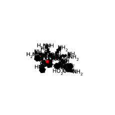 N=C(N)NCCC[C@H](NC(=O)[C@H](CCCCN)NC(=O)[C@H](Cc1c[nH]c2ccccc12)NC(=O)[C@H](CCCNC(=N)N)NC(=O)[C@H](CCCNC(=N)N)NC(=O)[C@H](Cc1ccccc1)NC(=O)[C@@H](N)Cc1c[nH]c2ccccc12)C(=O)N[C@@H](Cc1c[nH]c2ccccc12)C(=O)N[C@@H](Cc1ccccc1)C(=O)N[C@@H](CCCCN)C(=O)O